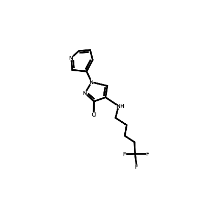 FC(F)(F)CCCCNc1cn(-c2cccnc2)nc1Cl